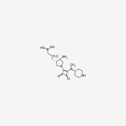 CN(c1c(N2C[C@H](CCCB(O)O)[C@@](C)(N)C2)c(=O)c1=O)C1CCNCC1